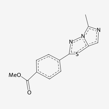 COC(=O)c1ccc(-c2nn3c(C)ncc3s2)cc1